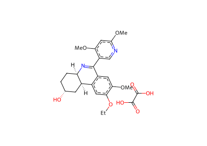 CCOc1cc2c(cc1OC)C(c1cnc(OC)cc1OC)=N[C@@H]1CC[C@@H](O)C[C@H]21.O=C(O)C(=O)O